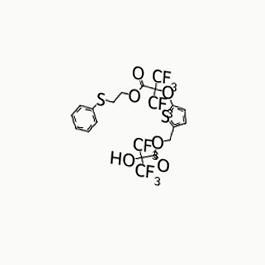 O=C(OCc1ccc(OC(C(=O)OCCSc2ccccc2)(C(F)(F)F)C(F)(F)F)s1)C(O)(C(F)(F)F)C(F)(F)F